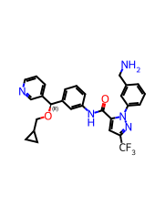 NCc1cccc(-n2nc(C(F)(F)F)cc2C(=O)Nc2cccc([C@@H](OCC3CC3)c3cccnc3)c2)c1